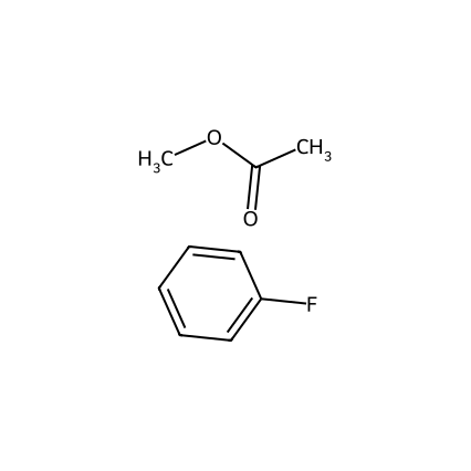 COC(C)=O.Fc1ccccc1